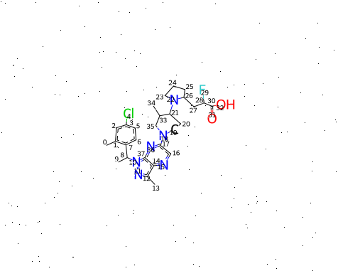 Cc1cc(Cl)ccc1C(C)n1nc(C)c2ncc(N3CCC(N4CCCC4CC(F)C(=O)O)C(C)C3)nc21